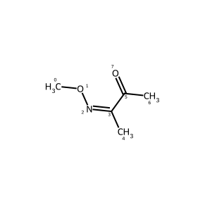 CON=C(C)C(C)=O